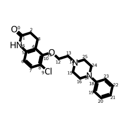 O=C1CCc2c(ccc(Cl)c2OCCN2CCN(c3ccccc3)CC2)N1